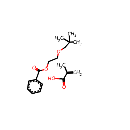 C=C(C)C(=O)O.CC(C)(C)COCCOC(=O)c1ccccc1